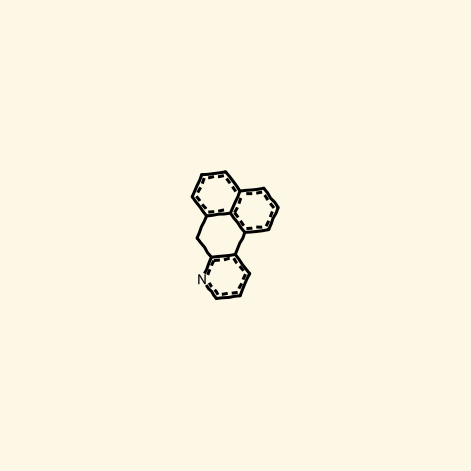 c1cnc2c(c1)-c1cccc3cccc(c13)C2